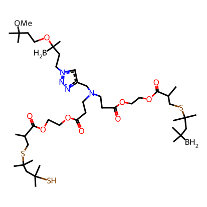 BC(C)(C)CC(C)(C)SCC(C)C(=O)OCCOC(=O)CCN(CCC(=O)OCCOC(=O)C(C)CSC(C)(C)CC(C)(C)S)Cc1cn(CCC(B)(C)OCCC(C)(C)OC)nn1